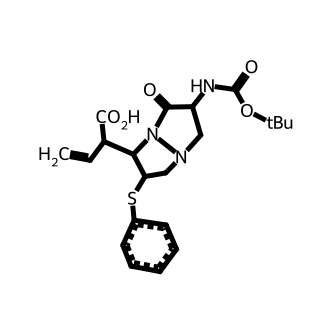 C=CC(C(=O)O)C1C(Sc2ccccc2)CN2CC(NC(=O)OC(C)(C)C)C(=O)N12